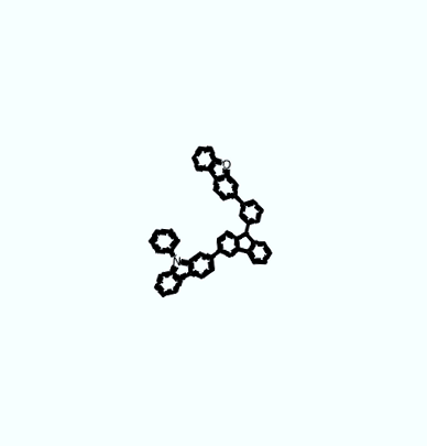 c1ccc(-n2c3ccccc3c3ccc(-c4ccc5c(c4)-c4ccccc4C5c4cccc(-c5ccc6c(c5)oc5ccccc56)c4)cc32)cc1